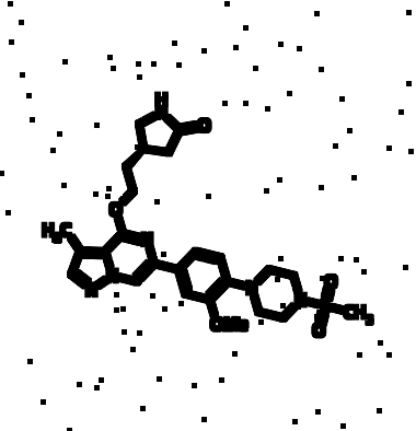 COc1cc(-c2cn3ncc(C)c3c(OCC[C@H]3CNC(=O)C3)n2)ccc1N1CCN(S(C)(=O)=O)CC1